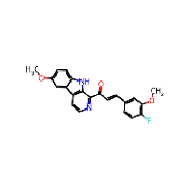 COc1ccc2[nH]c3c(C(=O)/C=C/c4ccc(F)c(OC)c4)nccc3c2c1